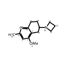 COc1cc(C)nc2c1CC(N1CCC1)CC2